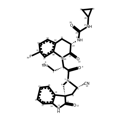 CC(C)(C)C[C@@H](C(=O)N1C[C@]2(C[C@H]1C#N)C(=O)Nc1ccccc12)N1C(=O)[C@@H](NC(=O)NC2CC2)Cc2ccc(F)cc21